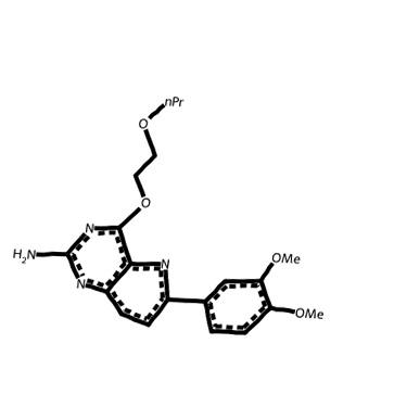 CCCOCCOc1nc(N)nc2ccc(-c3ccc(OC)c(OC)c3)nc12